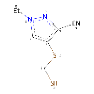 CCn1cc(SCS)c(C#N)n1